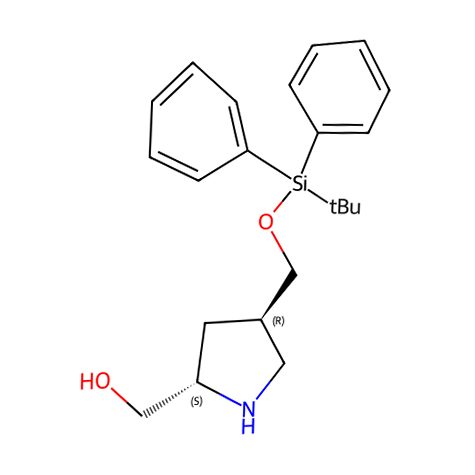 CC(C)(C)[Si](OC[C@H]1CN[C@H](CO)C1)(c1ccccc1)c1ccccc1